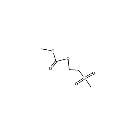 COC(=O)OCCS(C)(=O)=O